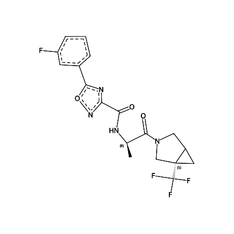 C[C@@H](NC(=O)c1noc(-c2cccc(F)c2)n1)C(=O)N1CC2C[C@@]2(C(F)(F)F)C1